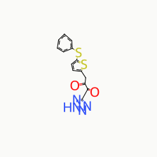 O=C(Cc1ccc(Sc2ccccc2)s1)C(=O)c1nn[nH]n1